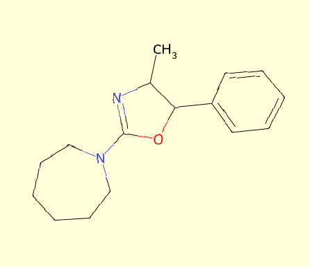 CC1N=C(N2CCCCCC2)OC1c1ccccc1